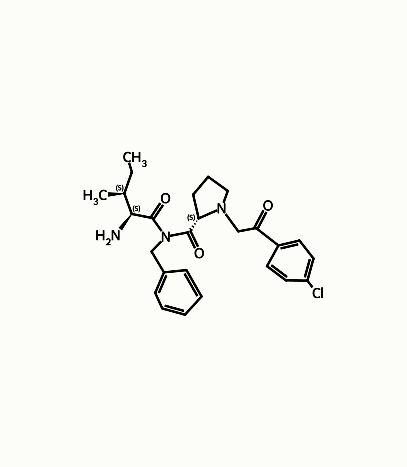 CC[C@H](C)[C@H](N)C(=O)N(Cc1ccccc1)C(=O)[C@@H]1CCCN1CC(=O)c1ccc(Cl)cc1